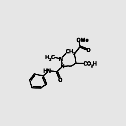 COC(=O)CC(CN(C(=O)Nc1ccccc1)N(C)C)C(=O)O